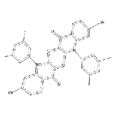 Cc1cc(C)cc(-n2c3cc(C(C)C)ccc3c(=O)c3cc4c(cc32)c(=O)c2ccc(C(C)C)cc2n4-c2cc(C)cc(C)c2)c1